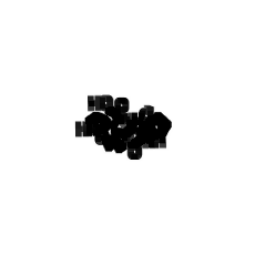 COc1cccc2[nH]c(C(=O)N3CC4(CC4)CC3C(=O)N[C@@H](C[C@@H]3CCCNC3=O)C(=O)CO)cc12